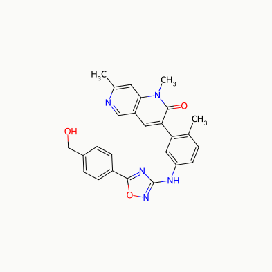 Cc1cc2c(cn1)cc(-c1cc(Nc3noc(-c4ccc(CO)cc4)n3)ccc1C)c(=O)n2C